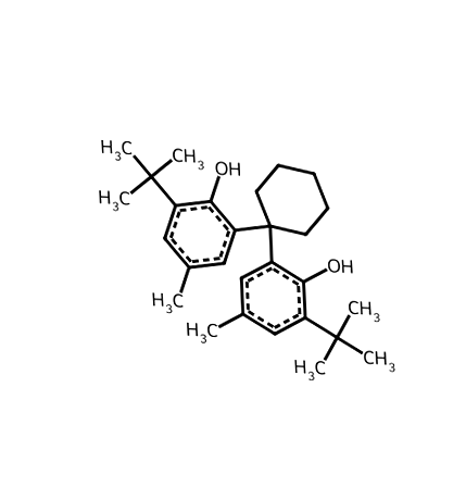 Cc1cc(C(C)(C)C)c(O)c(C2(c3cc(C)cc(C(C)(C)C)c3O)CCCCC2)c1